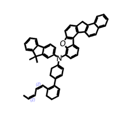 C/C=C\C=C/C1=C(C2=CC=C(N(c3ccc4c(c3)C(C)(C)c3ccccc3-4)c3cccc4c3oc3ccc5c(c34)-c3ccc4ccccc4c3C5)CC2)C=CCC1